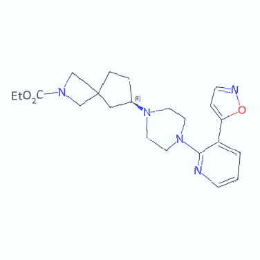 CCOC(=O)N1CC2(CC[C@@H](N3CCN(c4ncccc4-c4ccno4)CC3)C2)C1